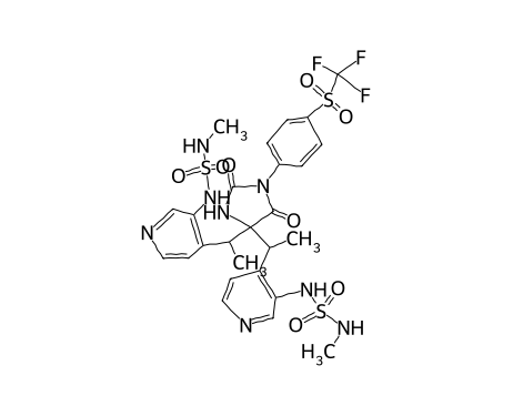 CNS(=O)(=O)Nc1cnccc1C(C)C1(C(C)c2ccncc2NS(=O)(=O)NC)NC(=O)N(c2ccc(S(=O)(=O)C(F)(F)F)cc2)C1=O